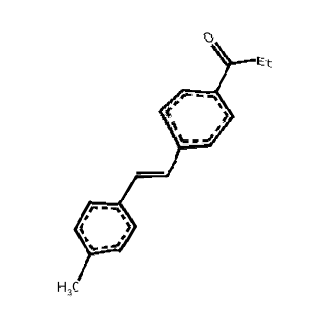 CCC(=O)c1ccc(C=Cc2ccc(C)cc2)cc1